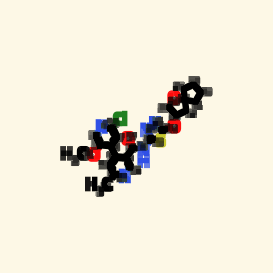 COc1cnc(Cl)cc1-c1cc(C)ncc1C(=O)Nc1nnc(O[C@H]2COC3(CCCC3)C2)s1